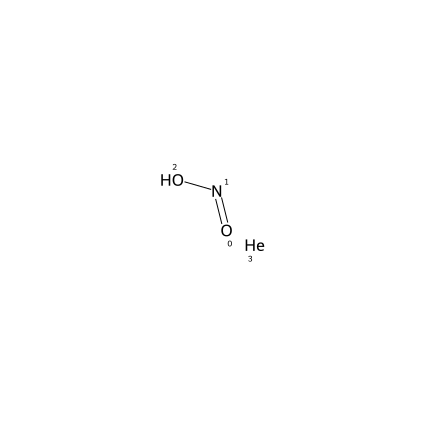 O=NO.[He]